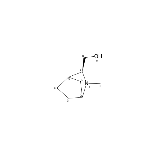 CN1C2CCC(C2)[C@H]1CO